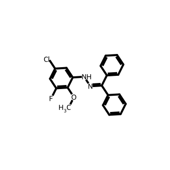 COc1c(F)cc(Cl)cc1NN=C(c1ccccc1)c1ccccc1